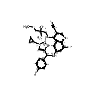 COCC(C)(C)CNc1c(C#N)cnc2c(Cl)cc(NC(C3=CN(C4CC4)NN3)c3ccc(F)cc3)cc12